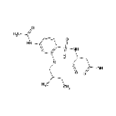 CCC(C)COc1cc(NC(C)=O)ccc1S(=O)(=O)NC(C=O)CC(=O)O